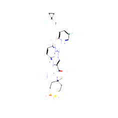 CC1(NC(=O)c2cn3nc(Oc4ncc(F)cc4OCC4(F)CC4)ccc3n2)CCS(=O)(=O)CC1